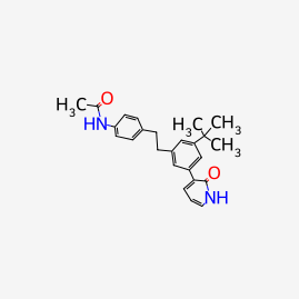 CC(=O)Nc1ccc(CCc2cc(-c3ccc[nH]c3=O)cc(C(C)(C)C)c2)cc1